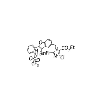 CCCc1nc(Cl)c(C(=O)OCC)n1Cc1ccc2oc(-c3ccccc3NS(=O)(=O)C(F)(F)F)c(Br)c2c1